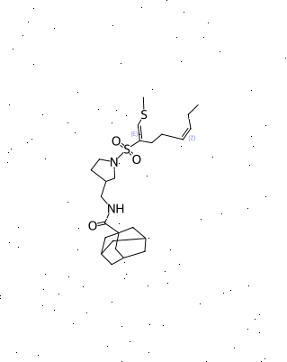 CC/C=C\CC/C(=C\SC)S(=O)(=O)N1CCC(CNC(=O)C23CC4CC(CC(C4)C2)C3)C1